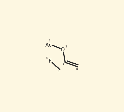 C=COC(C)=O.CF